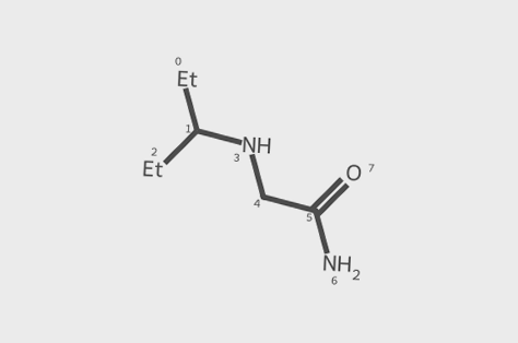 CCC(CC)NCC(N)=O